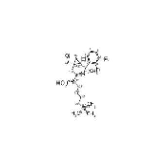 C[C@]1(c2cccc(F)c2F)N=C(N(COCC[Si](C)(C)C)C(=O)O)S[C@@]2(CO)C[C@H]21